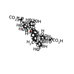 C=C1C[C@@]23CC[C@H]4[C@@](C)(CCC[C@@]4(C)C(=O)O[C@@H]4O[C@H](CO)[C@@H](O)[C@H](O)[C@H]4O[C@@H]4O[C@H](COC(=O)CC(=O)O)[C@@H](O)[C@H](O)[C@H]4O)[C@@H]2CC[C@@]1(O[C@@H]1O[C@H](CO)[C@@H](O)[C@H](O)[C@H]1O[C@@H]1O[C@H](COC(=O)CC(=O)O)[C@@H](O)[C@H](O)[C@H]1O)C3